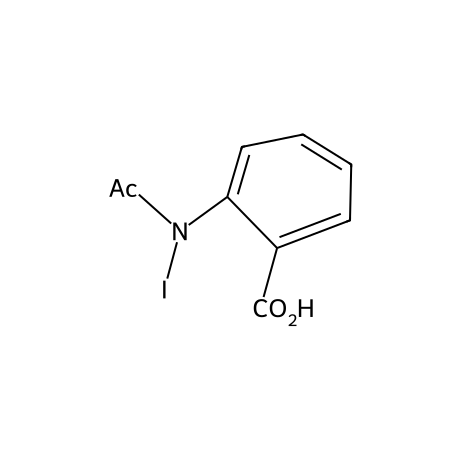 CC(=O)N(I)c1ccccc1C(=O)O